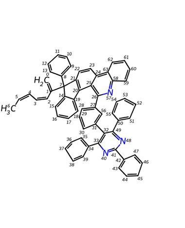 C=C(/C=C\C=C/C)C1(c2ccccc2)c2ccccc2-c2c1ccc1c2c(-c2cccc(-c3c(-c4ccccc4)nc(-c4ccccc4)nc3-c3ccccc3)c2)nc2ccccc21